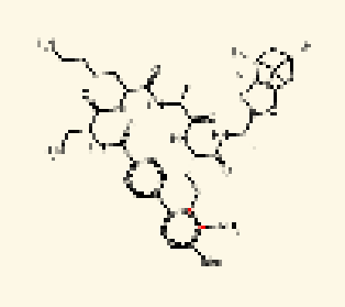 CCCCc1ccc(-c2ccc(C(=O)N[C@@H](CN)C(=O)N[C@@H](CCCCN)C(=O)N[C@@H](C)C(=O)N[C@@H](CCCCN)C(=O)N[C@@H](C)B3OC4C[C@@H]5C[C@@H](C5(C)C)[C@]4(C)O3)cc2)cc1